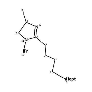 CCCCCCCCCCCC1=NC(I)CN1C(C)C